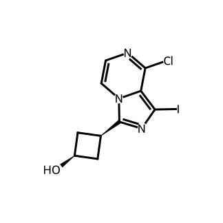 O[C@H]1C[C@@H](c2nc(I)c3c(Cl)nccn32)C1